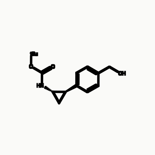 CC(C)(C)OC(=O)N[C@H]1C[C@@H]1c1ccc(CO)cc1